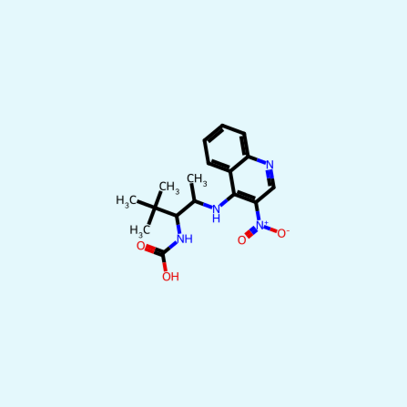 CC(Nc1c([N+](=O)[O-])cnc2ccccc12)C(NC(=O)O)C(C)(C)C